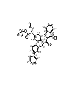 C=CCN(C(=O)OC(C)(C)C)[C@H]1CC[C@H](N(Cc2cccc(-c3ccncc3)c2)C(=O)c2sc3ccccc3c2Cl)CC1